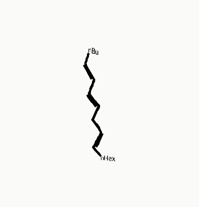 [CH2]CCCCCC=CCC=CC=CCCCC